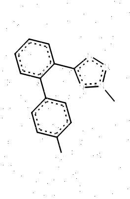 Cn1nnc(-c2ccccc2-c2ccc(Br)cc2)n1